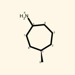 C[C@@H]1CCCC(N)CC1